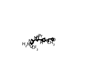 CC(C)n1nc(-c2cnc(N)c(OC(F)(F)F)c2)cc1C1=C2CC(N(C)CC3COC3)C[C@H]21